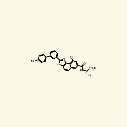 CC(C)[C@H](NC(=O)c1cc(O)c2c(ccc3[nH]c(-c4cccc(-c5ccc(C(C)(C)C)cc5)c4)nc32)c1)C(=O)O